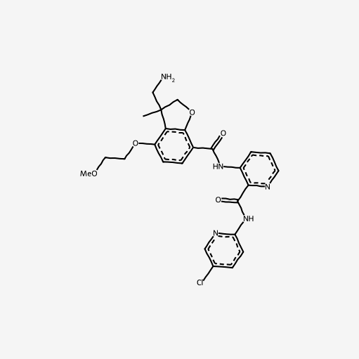 COCCOc1ccc(C(=O)Nc2cccnc2C(=O)Nc2ccc(Cl)cn2)c2c1C(C)(CN)CO2